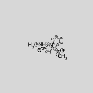 CNC(=O)c1ccc2c(C(=O)OC)c3ccccc3n2c1